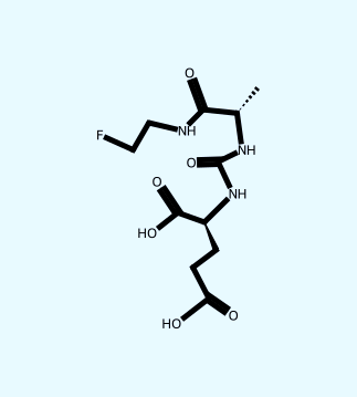 C[C@H](NC(=O)N[C@@H](CCC(=O)O)C(=O)O)C(=O)NCCF